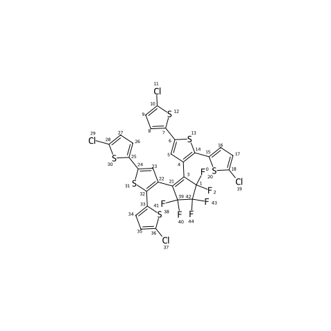 FC1(F)C(c2cc(-c3ccc(Cl)s3)sc2-c2ccc(Cl)s2)=C(c2cc(-c3ccc(Cl)s3)sc2-c2ccc(Cl)s2)C(F)(F)C1(F)F